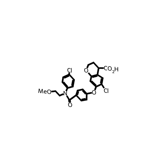 COCCN(C(=O)c1ccc(Oc2cc3c(cc2Cl)C(C(=O)O)CCO3)cc1)c1ccc(Cl)cc1